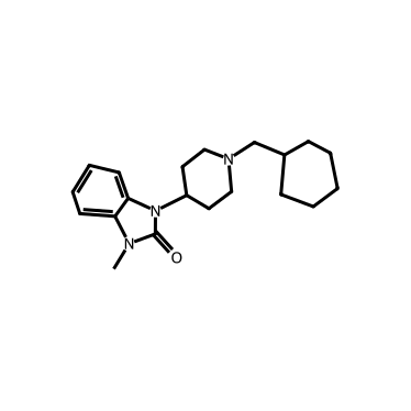 Cn1c(=O)n(C2CCN(CC3CCCCC3)CC2)c2ccccc21